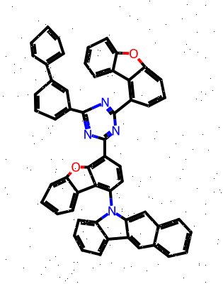 c1ccc(-c2cccc(-c3nc(-c4ccc(-n5c6ccccc6c6cc7ccccc7cc65)c5c4oc4ccccc45)nc(-c4cccc5oc6ccccc6c45)n3)c2)cc1